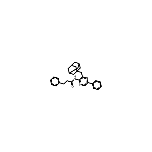 O=C(CCc1ccccc1)Nc1ncc(-c2ccccc2)nc1CC12CC3CC(CC(C3)C1)C2